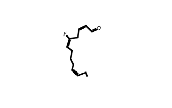 CC/C=C\CCC/C=C(/F)C/C=C\C=O